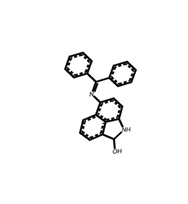 OC1Nc2ccc(N=C(c3ccccc3)c3ccccc3)c3cccc1c23